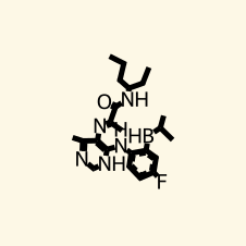 CCCC(CC)NC(=O)/C(C)=N/C1=C(Nc2ccc(F)cc2BC(C)C)NCN=C1C